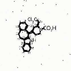 O=C(O)N1CCC(=C2c3ccccc3CCc3c2[nH]c2ccccc32)CC1CC(Cl)(Cl)Cl